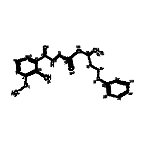 COc1ccnc(C(=O)NCC(=O)OC(C)CCOc2ccccc2)c1O